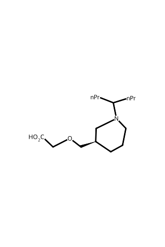 CCCC(CCC)N1CCC[C@@H](COCC(=O)O)C1